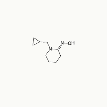 ON=C1CCCCN1CC1CC1